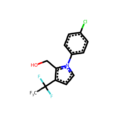 OCc1c(C(F)(F)C(F)(F)F)ccn1-c1ccc(Cl)cc1